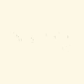 CN(C)CCCNCCCCC(CC(CC(F)(C(F)(F)F)C(F)(F)F)C(F)(F)F)C(F)(F)F